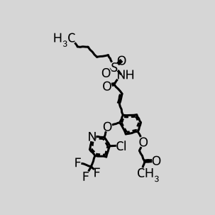 CCCCCS(=O)(=O)NC(=O)C=Cc1ccc(OCC(C)=O)cc1Oc1ncc(C(F)(F)F)cc1Cl